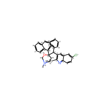 COc1nc2ccc(Cl)cc2cc1C(c1ccccc1)C1(c2cccc3ccccc23)CCN(C)CO1